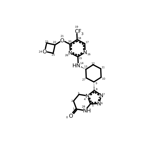 O=C1CCn2c(nnc2[C@H]2CCC[C@@H](Nc3ncc(C(F)(F)F)c(OC4COC4)n3)C2)N1